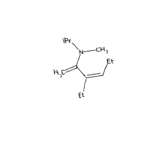 C=C(C(=CCC)CC)N(C)C(C)C